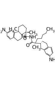 CCCCC[C@](C)(C(=O)NC(=O)[C@@]1(C)CCC[C@]2(C)c3cc(N)ccc3CC[C@@H]12)[C@@H]1CCc2ccc(N)cc2C1